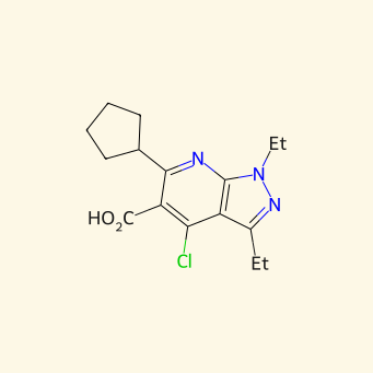 CCc1nn(CC)c2nc(C3CCCC3)c(C(=O)O)c(Cl)c12